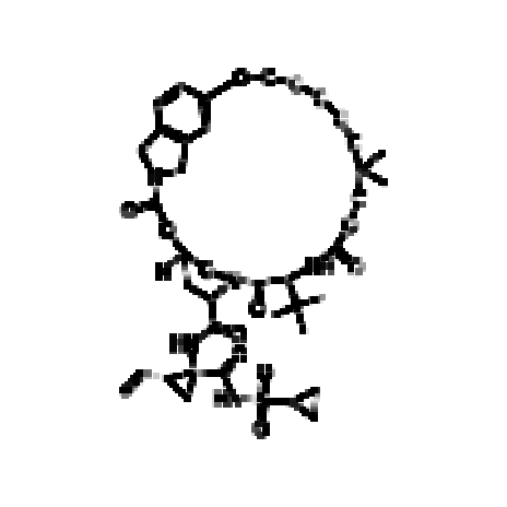 C=C[C@H]1C[C@@]1(NC(=O)C1C[C@@H]2CN1C(=O)[C@H](C(C)(C)C)NC(=O)OCC(C)(C)CCCCCOc1ccc3c(c1)CN(C3)C(=O)O2)C(=O)NS(=O)(=O)C1CC1